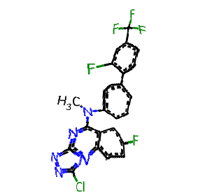 CN(c1cccc(-c2ccc(C(F)(F)F)cc2F)c1)c1nc2nnc(Cl)n2c2ccc(F)cc12